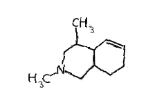 CC1CN(C)CC2CCC=CC12